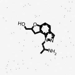 CC(N)Cn1ncc2ccc3c(c21)CC(CO)O3